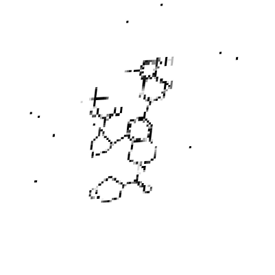 Cc1c[nH]c2ncc(-c3cc4c(c(C5CCCN5C(=O)OC(C)(C)C)c3)CN(C(=O)C3CCOCC3)CC4)cc12